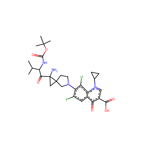 CC(C)C(NC(=O)OC(C)(C)C)C(=O)C1(N)CC12CCN(c1c(F)cc3c(=O)c(C(=O)O)cn(C4CC4)c3c1Cl)C2